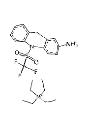 CC[N+](CC)(CC)CC.Nc1ccc2c(c1)Cc1ccccc1N2S(=O)(=O)C(F)(F)F